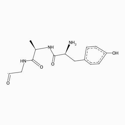 C[C@@H](NC(=O)[C@@H](N)Cc1ccc(O)cc1)C(=O)NC[C]=O